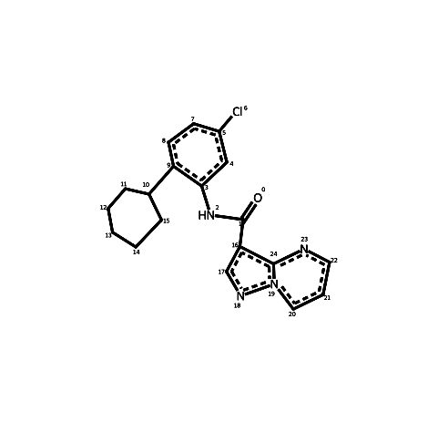 O=C(Nc1cc(Cl)ccc1C1CCCCC1)c1cnn2cccnc12